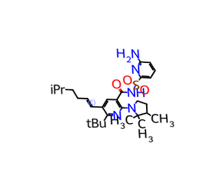 CC(C)CC/C=C/c1cc(C(=O)NS(=O)(=O)c2cccc(N)n2)c(N2CCC(C)C2(C)C)nc1C(C)(C)C